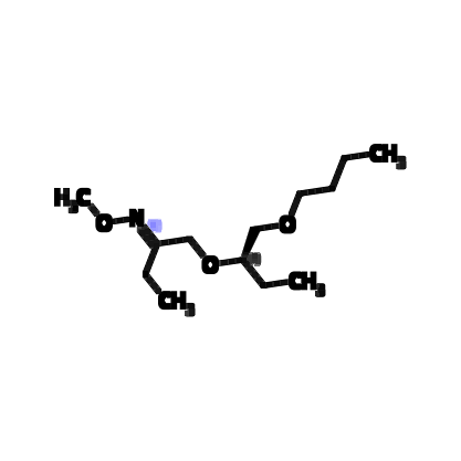 CCCCOC[C@@H](CC)OC/C(CC)=N/OC